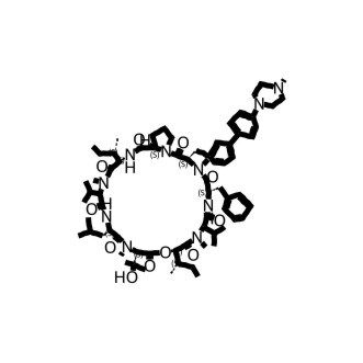 CC[C@H](C)[C@@H]1NC(=O)[C@@H]2CCCN2C(=O)[C@H](Cc2cccc(-c3ccc(N4CCN(C)CC4)cc3)c2)N(C)C(=O)[C@H](Cc2ccccc2)NC(=O)C(C(C)C)N(C)C(=O)[C@@H]([C@@H](C)CC)OC(=O)[C@H](C(C)(C)O)N(C)C(=O)[C@H](CC(C)C)NC(=O)C(C(C)C)N(C)C1=O